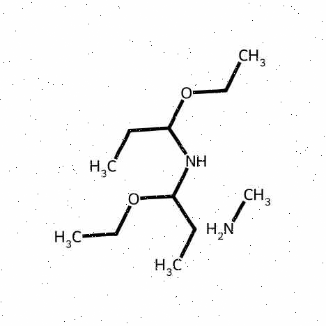 CCOC(CC)NC(CC)OCC.CN